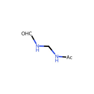 CC(=O)NCNC=O